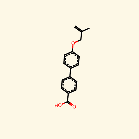 C=C(C)COc1ccc(-c2ccc(C(=O)O)cc2)cc1